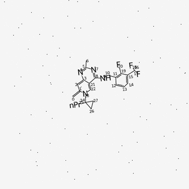 C=C1C=c2nc(C)nc(NCc3cccc(C(F)F)c3F)c2=CN1C1(CCC)CC1